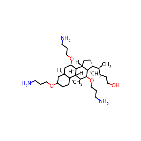 C[C@@H](CCCO)[C@H]1CC[C@H]2[C@@H]3[C@H](OCCCN)C[C@@H]4C[C@H](OCCCN)CC[C@]4(C)[C@H]3C[C@H](OCCCN)[C@]12C